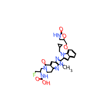 Cn1c(-c2cc3cccc(OCC4CNC(=O)O4)c3n2CC2CC2)nc2cc3c(nc21)CCN(CC(CF)NC(=O)O)C3=O